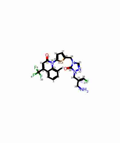 Cc1cccc2c(C(F)(F)F)cc(=O)n(-c3ccc(Cn4cnn(C/C(=C/F)CN)c4=O)s3)c12